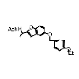 CCOc1ccc(COc2ccc3oc(C(C)NC(C)=O)cc3c2)cc1